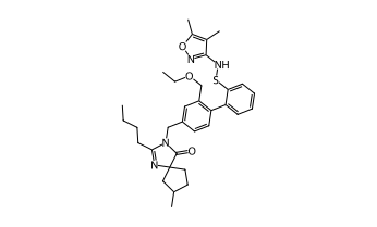 CCCCC1=NC2(CCC(C)C2)C(=O)N1Cc1ccc(-c2ccccc2SNc2noc(C)c2C)c(COCC)c1